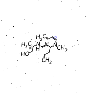 C=C/C=C\N(C)C(CC=C)N=CN[C@@H](C)CO